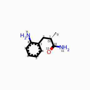 C[C@@H](Cc1c[c]ccc1N)C(N)=O